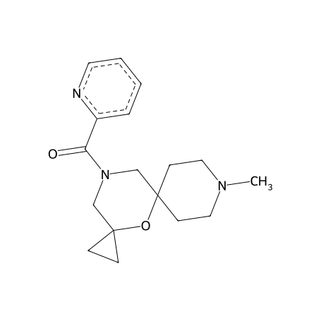 CN1CCC2(CC1)CN(C(=O)c1ccccn1)CC1(CC1)O2